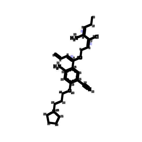 C=C/C=C(/OC/C=C(Cl)\C(N)=C/CC)c1cc(C#N)c(OCCCN2CCCC2)cc1N